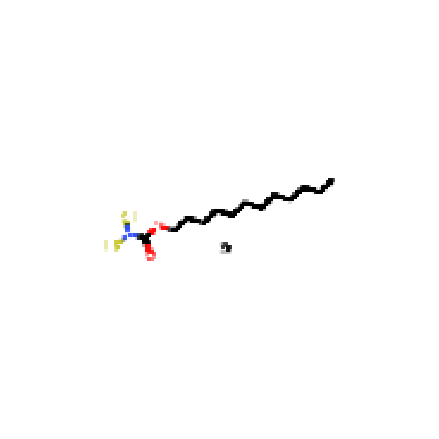 CCCCCCCCCCCCOC(=O)N(S)S.[Zn]